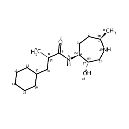 C[C@@H]1CC[C@H](NC(=O)[C@@H](C)CC2CCCCC2)[C@@H](O)CN1